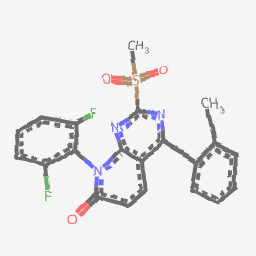 Cc1ccccc1-c1nc(S(C)(=O)=O)nc2c1ccc(=O)n2-c1c(F)cccc1F